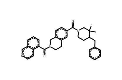 O=C(c1ccc2c(c1)CCN(C(=O)c1cccc3cnccc13)C2)N1CCC(Cc2ccccc2)C(F)(F)C1